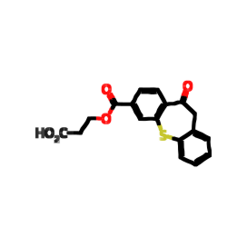 O=C(O)CCOC(=O)c1ccc2c(c1)Sc1ccccc1CC2=O